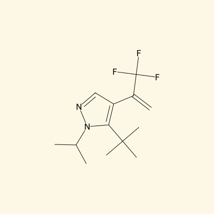 C=C(c1cnn(C(C)C)c1C(C)(C)C)C(F)(F)F